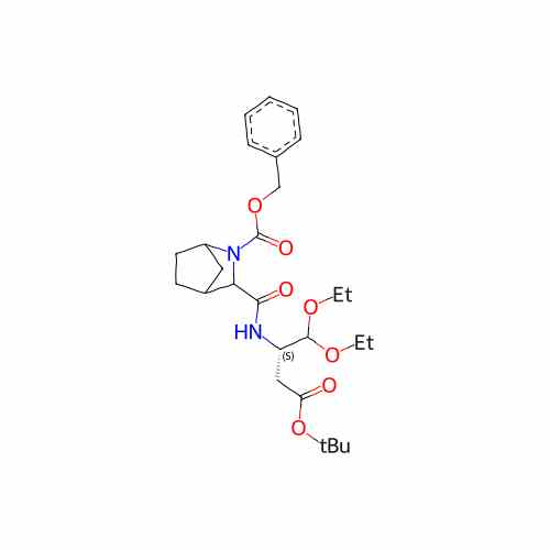 CCOC(OCC)[C@H](CC(=O)OC(C)(C)C)NC(=O)C1C2CCC(C2)N1C(=O)OCc1ccccc1